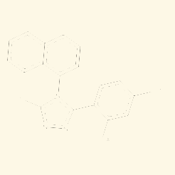 CC(=O)Oc1ccc(-c2nnc(S)n2-c2cccc3ccccc23)c(OC(C)=O)c1